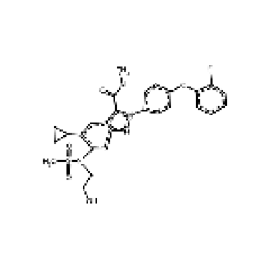 CNC(=O)c1c2cc(C3CC3)c(N(CCO)S(C)(=O)=O)cc2nn1-c1ccc(Oc2ccccc2F)cc1